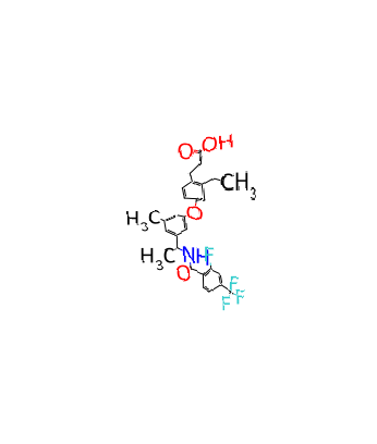 CCc1cc(Oc2cc(C)cc([C@@H](C)NC(=O)c3ccc(C(F)(F)F)cc3F)c2)ccc1CCC(=O)O